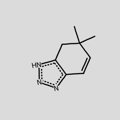 CC1(C)C=Cc2nn[nH]c2C1